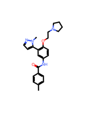 Cc1ccc(C(=O)Nc2ccc(OCCN3CCCC3)c(-c3ccnn3C)c2)cc1